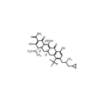 CN(Cc1cc(O)c2c(c1C(F)(F)F)C[C@H]1C[C@H]3[C@H](N(C)C)C(O)=C(C(N)=O)C(=O)[C@@]3(O)C(O)=C1C2=O)CC1CC1